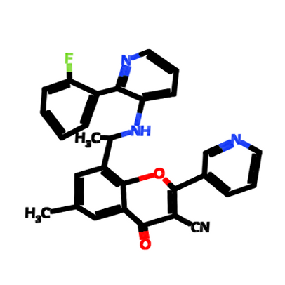 Cc1cc(C(C)Nc2cccnc2-c2ccccc2F)c2oc(-c3cccnc3)c(C#N)c(=O)c2c1